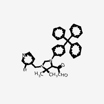 CCc1cnccc1CN1CN(c2ccc(C(c3ccccc3)(c3ccccc3)c3ccccc3)cc2)C(C(=O)C=O)C1(C)C